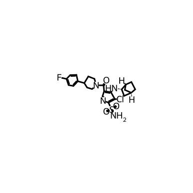 NS(=O)(=O)c1ncc(C(=O)N2CCC(c3ccc(F)cc3)CC2)c(N[C@H]2C[C@@H]3CC[C@@H]2C3)c1Cl